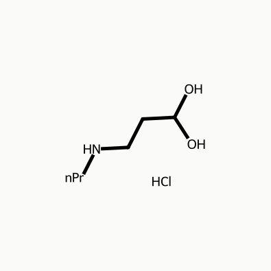 CCCNCCC(O)O.Cl